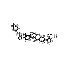 O=C(NCc1ccncc1)c1ccc2c(c1)OCCN2Cc1ccc(-c2ccccc2C(=O)O)cc1